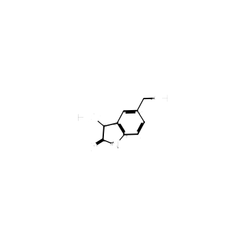 CCc1ccc2c(c1)C(C)C(=O)N2